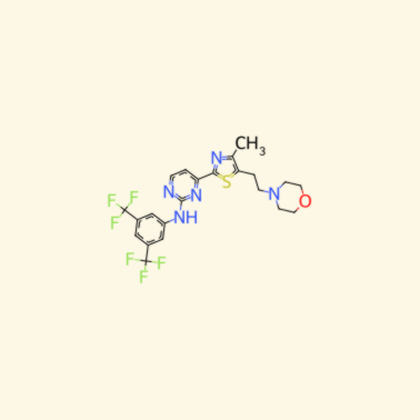 Cc1nc(-c2ccnc(Nc3cc(C(F)(F)F)cc(C(F)(F)F)c3)n2)sc1CCN1CCOCC1